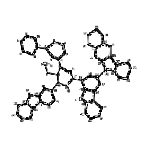 CCC1C(c2cccc(-c3ccccc3)c2)=NC(c2cc(-n3c4ccccc4c4cc5ccccc5cc43)cc3c2oc2ccccc23)=NC1c1ccc2c(c1)sc1ccccc12